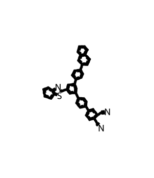 N#Cc1ccc(-c2ccc(-c3cc(-c4ccc(-c5ccc6ccccc6c5)cc4)cc(-c4nc5ccccc5s4)c3)cc2)cc1C#N